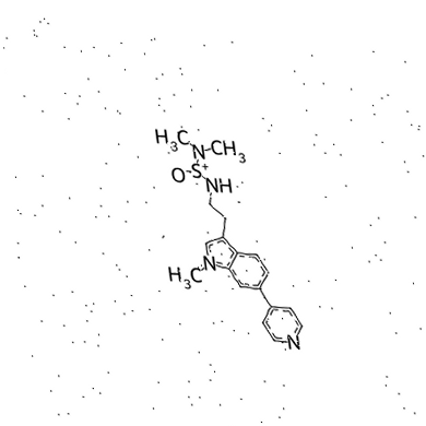 CN(C)[S+]([O-])NCCc1cn(C)c2cc(-c3ccncc3)ccc12